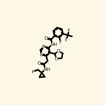 CC(F)(F)c1cccc(C(=O)Nc2ncnc(CC(=O)NC3(CF)CC3)c2C2OCCO2)c1F